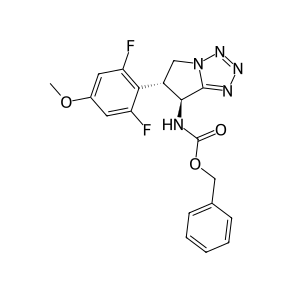 COc1cc(F)c([C@@H]2Cn3nnnc3[C@H]2NC(=O)OCc2ccccc2)c(F)c1